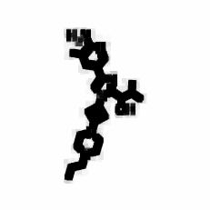 CCCN1CCN(C23CC(n4cc(-c5cnc(N)c(C)c5)nc4C(O)C(C)C)(C2)C3)CC1